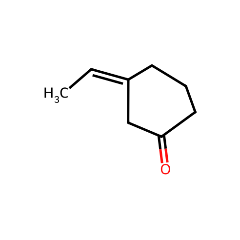 C/C=C1/CCCC(=O)C1